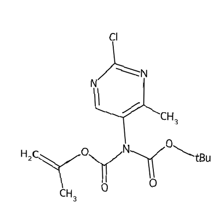 C=C(C)OC(=O)N(C(=O)OC(C)(C)C)c1cnc(Cl)nc1C